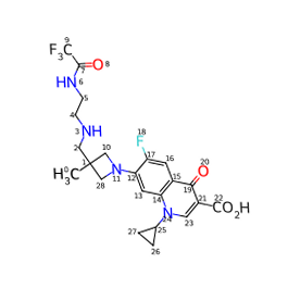 CC1(CNCCNC(=O)C(F)(F)F)CN(c2cc3c(cc2F)c(=O)c(C(=O)O)cn3C2CC2)C1